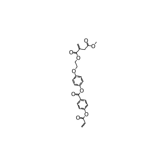 C=CC(=O)Oc1ccc(C(=O)Oc2ccc(OCCOC(=O)C(=C)CC(=O)OC)cc2)cc1